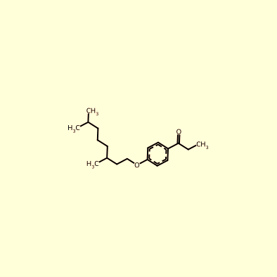 CCC(=O)c1ccc(OCCC(C)CCCC(C)C)cc1